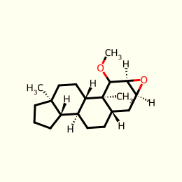 COC1[C@H]2O[C@H]2C[C@@H]2CC[C@H]3[C@@H]4CCC[C@@]4(C)CC[C@@H]3[C@@]12C